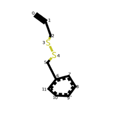 C#CCSSCc1cc[c]cc1